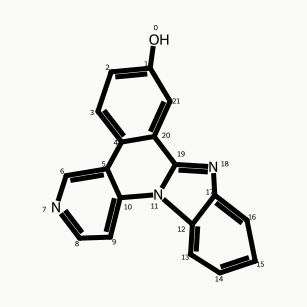 Oc1ccc2c3cnccc3n3c4ccccc4nc3c2c1